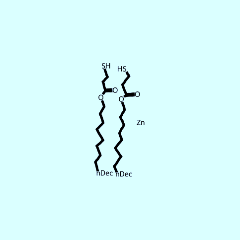 CCCCCCCCCCCCCCCCCCOC(=O)CCS.CCCCCCCCCCCCCCCCCCOC(=O)CCS.[Zn]